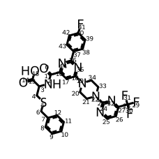 O=C(NC(CSCc1ccccc1)C(=O)O)c1cc(N2CCN(c3nccc(C(F)(F)F)n3)CC2)nc(-c2ccc(F)cc2)n1